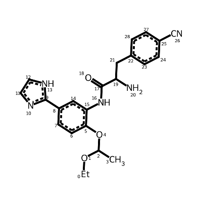 CCOC(C)Oc1ccc(-c2ncc[nH]2)cc1NC(=O)C(N)Cc1ccc(C#N)cc1